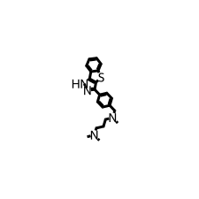 CN(C)CCCN(C)Cc1ccc(-c2n[nH]c3c2sc2ccccc23)cc1